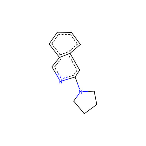 c1ccc2cc(N3CCCC3)ncc2c1